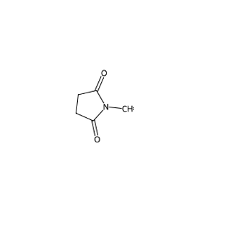 [CH]N1C(=O)CCC1=O